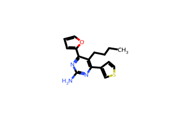 CCCCc1c(-c2ccsc2)nc(N)nc1-c1ccco1